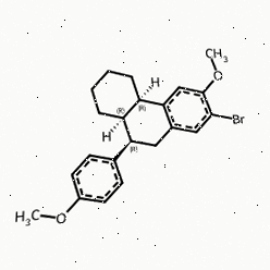 COc1ccc([C@@H]2Cc3cc(Br)c(OC)cc3[C@@H]3CCCC[C@H]23)cc1